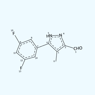 Cc1c(C=O)n[nH]c1-c1cc(F)cc(F)c1